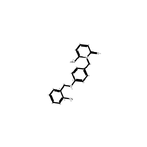 CCCCc1cccc(=O)n1Cc1ccc(OCc2ccccc2C#N)cc1